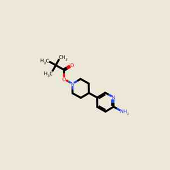 CC(C)(C)C(=O)ON1CCC(c2ccc(N)nc2)CC1